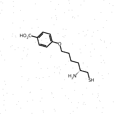 N[C@@H](CS)CCCCOc1ccc(C(=O)O)cc1